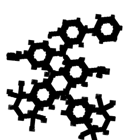 Cc1ccc(-c2ccccc2)cc1N1c2ccc(C(C)(C)C)cc2B2c3cc4c(cc3N(c3ccc5c(c3)C(C)(C)CCC5(C)C)c3cc(C(C)(C)C)cc1c32)C(C)(C)CCC4(C)C